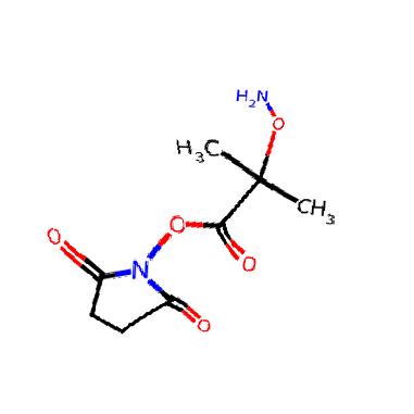 CC(C)(ON)C(=O)ON1C(=O)CCC1=O